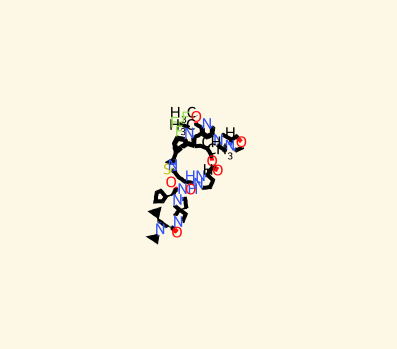 CO[C@@H](C)c1ncc(N2CCN3CCOC[C@@H]3C2)cc1-c1c2c3cc(ccc3n1CC(F)(F)F)-c1csc(n1)C[C@H](NC(=O)[C@H](C1CCCC1)N1CC[C@]3(CCN(C(=O)[C@H]4[C@@H](C5CC5)N4C4CC4)C3)C1)C(=O)N1CCC[C@H](N1)C(=O)OCC(C)(C)C2